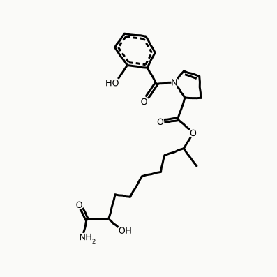 CC(CCCCCC(O)C(N)=O)OC(=O)C1CC=CN1C(=O)c1ccccc1O